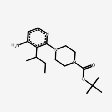 CCC(C)c1c(N)ccnc1N1CCN(C(=O)OC(C)(C)C)CC1